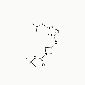 CC(C)C(C)c1cc(OC2CN(C(=O)OC(C)(C)C)C2)no1